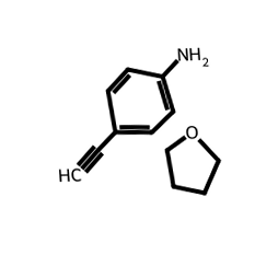 C#Cc1ccc(N)cc1.C1CCOC1